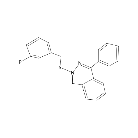 Fc1cccc(CSN2Cc3ccccc3C(c3ccccc3)=N2)c1